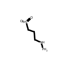 O=[SH](=O)CCCNP